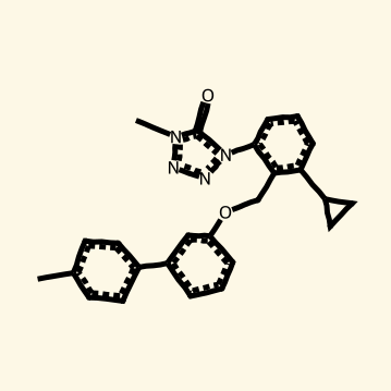 Cc1ccc(-c2cccc(OCc3c(C4CC4)cccc3-n3nnn(C)c3=O)c2)cc1